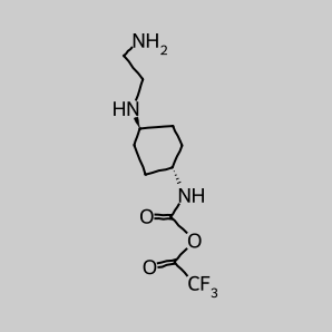 NCCN[C@H]1CC[C@H](NC(=O)OC(=O)C(F)(F)F)CC1